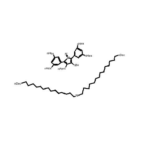 CCCCCCCCCCCCCCCCCCCCCCC[CH2][Ni][CH2]CCCCCCCCCCCCCCCCCCCCCCC.CCCCCCc1cc(CCCCCC)cc(C2=C(CCCC)C(CCCCC)=C(c3cc(CCCCCC)cc(CCCCCC)c3)[N+]2=[N-])c1